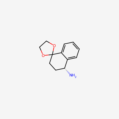 N[C@@H]1CCC2(OCCO2)c2ccccc21